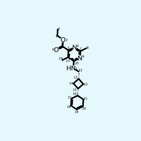 CCOC(=O)c1nc(C)nc(NC[C@H]2C[C@@H](C3C=CC=CC3)C2)c1C